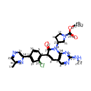 CCNc1ncc2cc(-c3ccc(-c4cncc(C)n4)cc3Cl)c(=O)n(C3CCN(C(=O)OC(C)(C)C)C3)c2n1